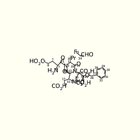 CC(C)C(NC(=O)C(N)CCC(=O)O)C(=O)N(C(=O)C(N)CC(=O)O)C(CC(=O)O)(C(=O)O)C(=O)OCc1ccccc1.O=CCF